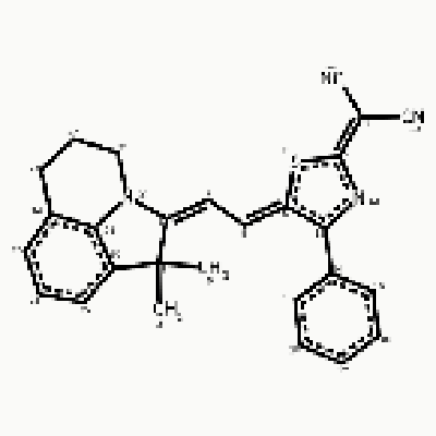 CC1(C)C(=CC=c2sc(=C(C#N)C#N)nc2-c2ccccc2)N2CCCc3cccc1c32